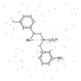 Cc1cccc(C(CN(Cc2cccc(N)c2)C(=O)O)C(C)(C)C)c1